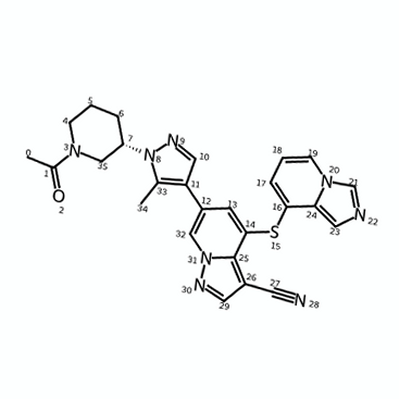 CC(=O)N1CCC[C@H](n2ncc(-c3cc(Sc4cccn5cncc45)c4c(C#N)cnn4c3)c2C)C1